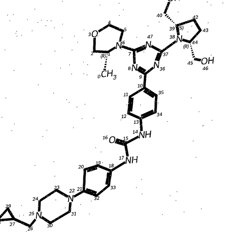 C[C@@H]1COCCN1c1nc(-c2ccc(NC(=O)Nc3ccc(N4CCN(CC5CC5)CC4)cc3)cc2)nc(N2[C@H](CO)CC[C@@H]2CO)n1